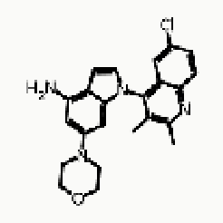 Cc1nc2ccc(Cl)cc2c(-n2ccc3c(N)cc(N4CCOCC4)cc32)c1C